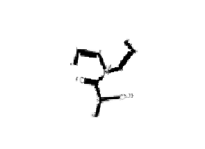 C/C=C\N(/C=C\C)C(=O)C(C)[O]